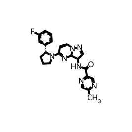 Cc1cnc(C(=O)NC2C=NN3C=CC(N4CCC[C@@H]4c4cccc(F)c4)=NC23)cn1